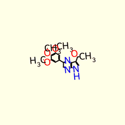 COc1cc(-c2cnc3[nH]cc(C(C)=O)c3n2)cc(OC)c1OC